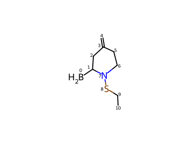 BC1CC(=C)CCN1SCC